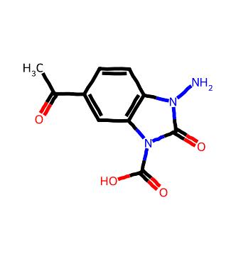 CC(=O)c1ccc2c(c1)n(C(=O)O)c(=O)n2N